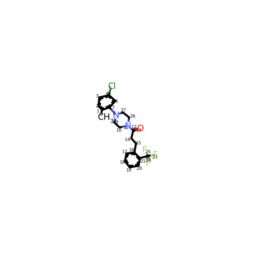 Cc1ccc(Cl)cc1N1CCN(C(=O)CCc2ccccc2C(F)(F)F)CC1